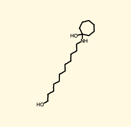 OCCCCCCCCCCCCNC1(O)CCCCCC1